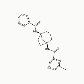 Cc1cncc(C(=O)N[C@@]23CCC[C@@](NC(=O)c4ccccn4)(CC2)C3)n1